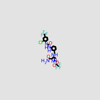 NC(=O)c1nn(OC(=O)C(F)(F)F)cc1NCc1cccc(NC(=O)Nc2ccc(C(F)(F)F)cc2Cl)c1